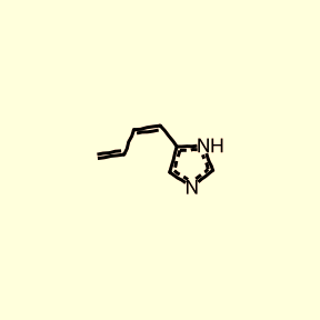 C=C/C=C\c1cnc[nH]1